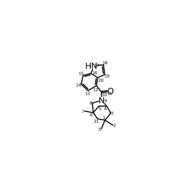 CC1(C)CC2CC(C)(CN2C(=O)c2cccc3[nH]ccc23)C1